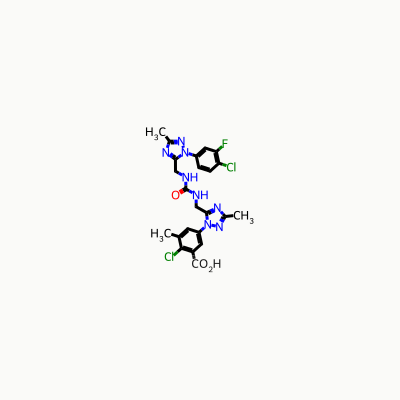 Cc1nc(CNC(=O)NCc2nc(C)nn2-c2cc(C)c(Cl)c(C(=O)O)c2)n(-c2ccc(Cl)c(F)c2)n1